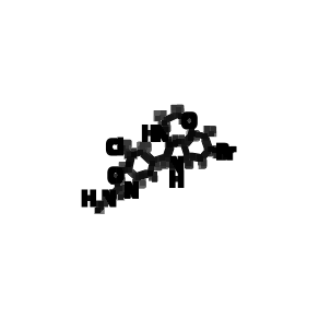 Nc1nc2cc(-c3[nH]c4cc(Br)cc5c4c3NCCO5)cc(Cl)c2o1